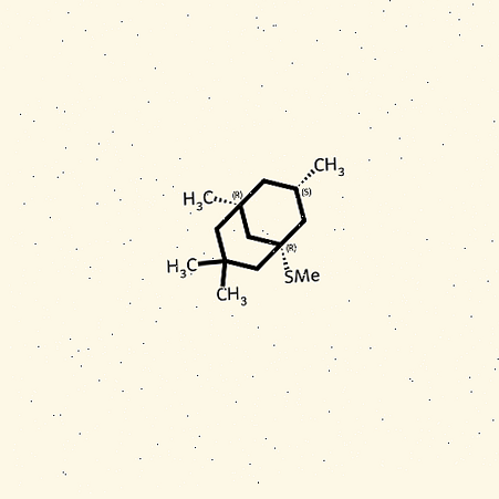 CS[C@]12C[C@@H](C)C[C@](C)(CC(C)(C)C1)C2